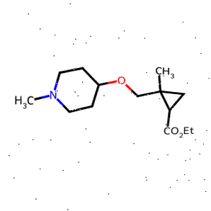 CCOC(=O)C1CC1(C)COC1CCN(C)CC1